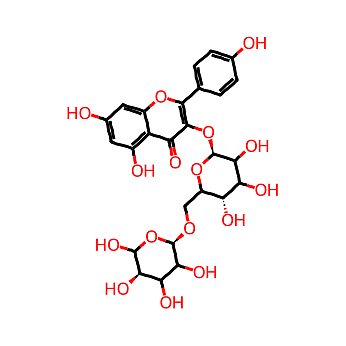 O=c1c(O[C@@H]2OC(CO[C@@H]3OC(O)[C@H](O)C(O)C3O)[C@@H](O)C(O)C2O)c(-c2ccc(O)cc2)oc2cc(O)cc(O)c12